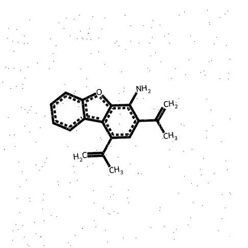 C=C(C)c1cc(C(=C)C)c2c(oc3ccccc32)c1N